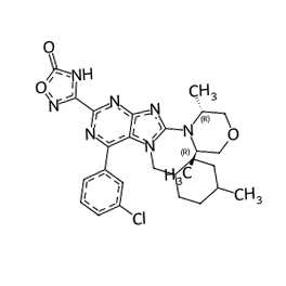 CC1CCC(Cn2c(N3[C@H](C)COC[C@H]3C)nc3nc(-c4noc(=O)[nH]4)nc(-c4cccc(Cl)c4)c32)CC1